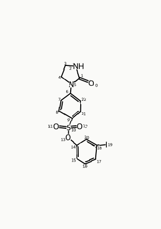 O=C1NCCN1c1ccc(S(=O)(=O)Oc2cccc(I)c2)cc1